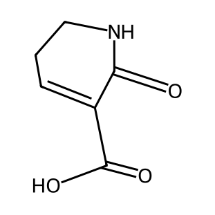 O=C(O)C1=CCCNC1=O